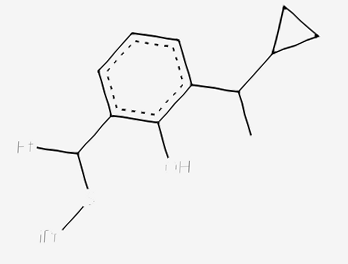 CCC(SC(C)C)c1cccc(C(C)C2CC2)c1O